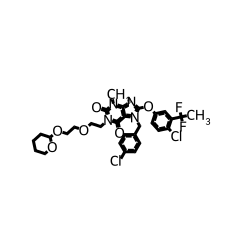 Cn1c(=O)n(CCOCCOC2CCCCO2)c(=O)c2c1nc(Oc1ccc(Cl)c(C(C)(F)F)c1)n2Cc1ccc(Cl)cc1